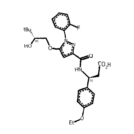 CCOc1ccc([C@H](CC(=O)O)NC(=O)c2cc(OC[C@H](O)C(C)(C)C)n(-c3ccccc3F)n2)cc1